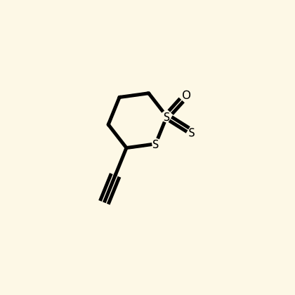 C#CC1CCCS(=O)(=S)S1